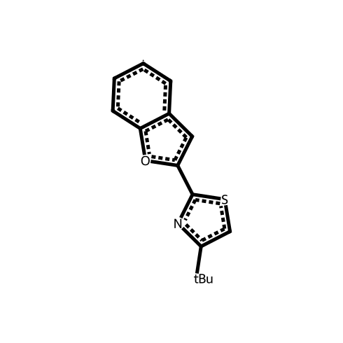 CC(C)(C)c1csc(-c2cc3c[c]ccc3o2)n1